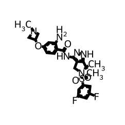 CN1CC(Oc2ccc(C(=O)Nc3n[nH]c4c3CN(S(=O)(=O)c3cc(F)cc(F)c3)C4(C)C)c(N)c2)C1